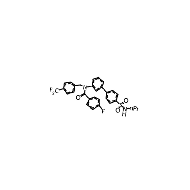 CCCNS(=O)(=O)c1ccc(-c2cccc(N(Cc3ccc(C(F)(F)F)cc3)C(=O)c3ccc(F)cc3)c2)cc1